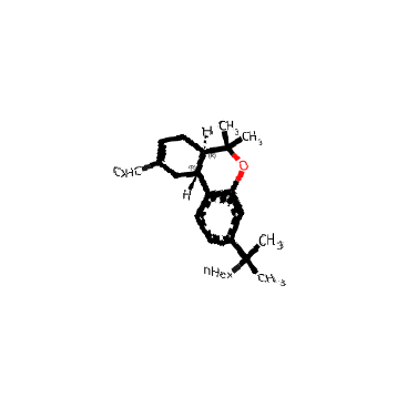 CCCCCCC(C)(C)c1ccc2c(c1)OC(C)(C)[C@@H]1CC=C(C=O)C[C@@H]21